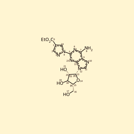 CCOC(=O)c1cnn(-c2nc(N)c3ncn([C@@H]4O[C@H](CO)C(O)[C@@H]4O)c3n2)c1